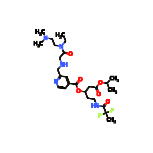 CCN(CCN(C)C)C(=O)CNCc1cc(C(=O)OC(CCNC(=O)C(C)(F)F)CC(=O)OC(C)C)ccn1